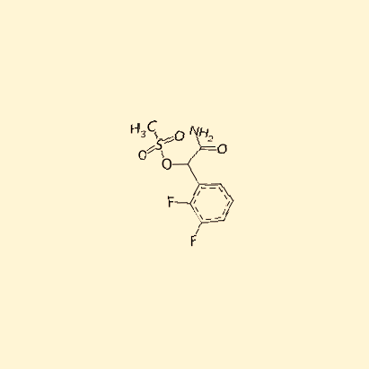 CS(=O)(=O)OC(C(N)=O)c1cccc(F)c1F